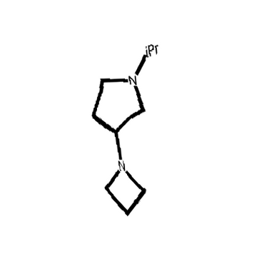 CC(C)N1CCC(N2CCC2)C1